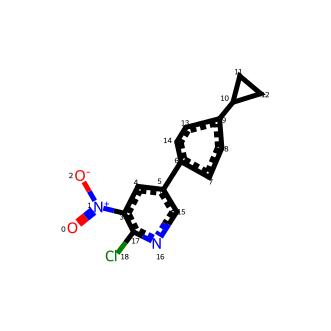 O=[N+]([O-])c1cc(-c2ccc(C3CC3)cc2)cnc1Cl